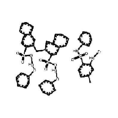 C[CH2][Hg][c]1cc(C)ccc1S(=O)(=O)Nc1ccccc1.O=S(=O)([O][Hg][O]c1ccccc1)c1cc2ccccc2cc1Cc1cc2ccccc2cc1S(=O)(=O)[O][Hg][O]c1ccccc1